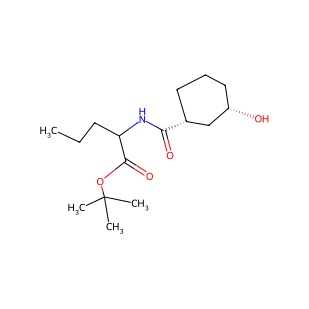 CCCC(NC(=O)[C@@H]1CCC[C@H](O)C1)C(=O)OC(C)(C)C